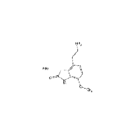 Br.COc1ccc(CCN)c2c1NC(=O)C2